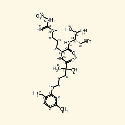 Cc1ccc(C)c(OCCCC(C)(C)C(=O)N[C@@H](CCCNC(=N)N[N+](=O)[O-])C(=O)N[C@@H](CC(C)C)B(O)O)c1